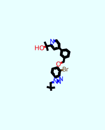 CC(C)(C)Cn1nnc2c(Br)c(OCc3cccc(-c4ccnc(C(C)(C)O)c4)c3)ccc21